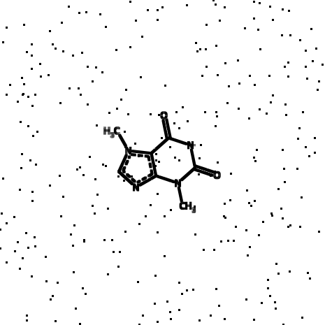 CN1C(=O)[N]C(=O)c2c1ncn2C